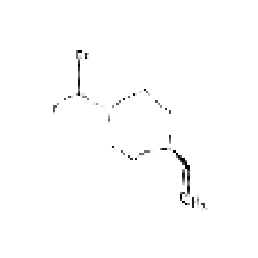 C=C[C@H]1CC[C@H](C(I)CC)CC1